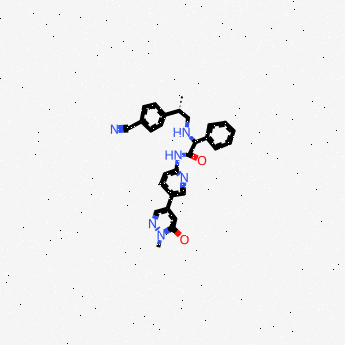 C[C@H](CNC(C(=O)Nc1ccc(-c2cnn(C)c(=O)c2)cn1)c1ccccc1)c1ccc(C#N)cc1